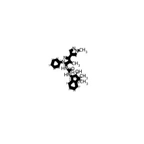 Cc1c(-c2cnn(C)c2)nn(-c2ccccc2)c1NC(O)NC1c2ccccc2C(C)(C)[C@H]1O